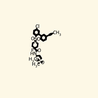 CC#Cc1cccc(-c2cc(Cl)ccc2S(=O)(=O)N2CCC(F)(C(=O)N[C@@H](C)/C=C\S(C)(=O)=O)CC2)c1